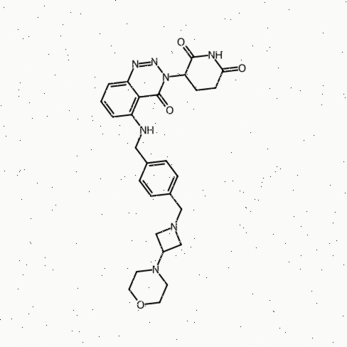 O=C1CCC(n2nnc3cccc(NCc4ccc(CN5CC(N6CCOCC6)C5)cc4)c3c2=O)C(=O)N1